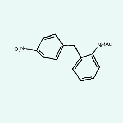 CC(=O)Nc1ccccc1Cc1ccc([N+](=O)[O-])cc1